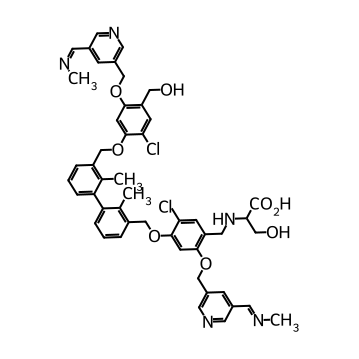 C/N=C\c1cncc(COc2cc(OCc3cccc(-c4cccc(COc5cc(OCc6cncc(/C=N/C)c6)c(CNC(CO)C(=O)O)cc5Cl)c4C)c3C)c(Cl)cc2CO)c1